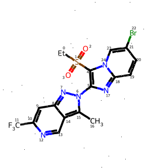 CCS(=O)(=O)c1c(-n2nc3cc(C(F)(F)F)ncc3c2C)nc2ccc(Br)cn12